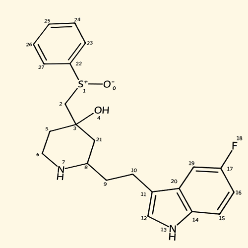 [O-][S+](CC1(O)CCNC(CCc2c[nH]c3ccc(F)cc23)C1)c1ccccc1